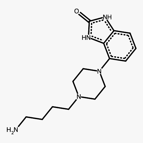 NCCCCN1CCN(c2cccc3[nH]c(=O)[nH]c23)CC1